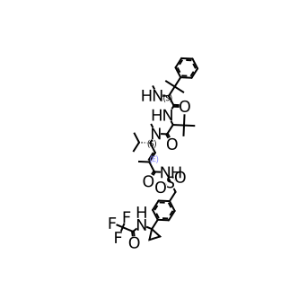 CN[C@H](C(=O)NC(C(=O)N(C)[C@H](/C=C(\C)C(=O)NS(=O)(=O)Cc1ccc(C2(NC(=O)C(F)(F)F)CC2)cc1)C(C)C)C(C)(C)C)C(C)(C)c1ccccc1